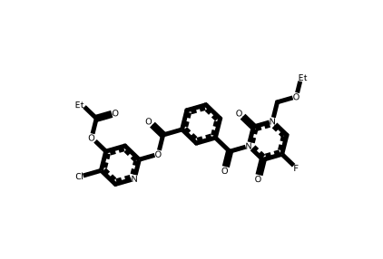 CCOCn1cc(F)c(=O)n(C(=O)c2cccc(C(=O)Oc3cc(OC(=O)CC)c(Cl)cn3)c2)c1=O